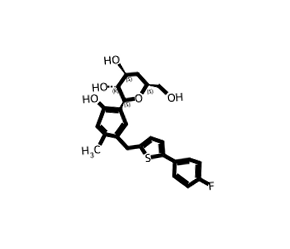 Cc1cc(O)c([C@@H]2O[C@H](CO)C[C@H](O)[C@H]2O)cc1Cc1ccc(-c2ccc(F)cc2)s1